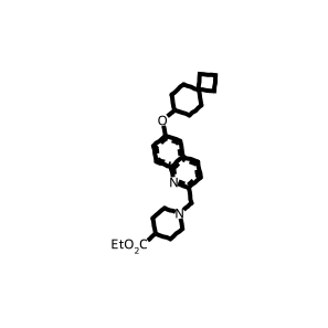 CCOC(=O)C1CCN(Cc2ccc3cc(OC4CCC5(CCC5)CC4)ccc3n2)CC1